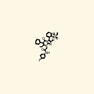 C=CS(=O)(=O)Nc1ccccc1-c1c(C)nc2n(CC(=O)Nc3ccc(F)cc3)c(CC)c(-c3ccccc3)c(=O)n12